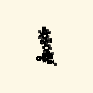 CC1(C)CC(NC(=O)C2CCC(n3cnc4c(N)nc(Cl)nc43)CC2)CC(C)(C)N1